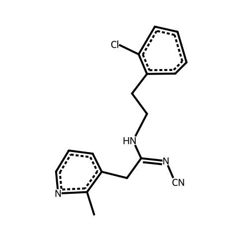 Cc1ncccc1C/C(=N\C#N)NCCc1ccccc1Cl